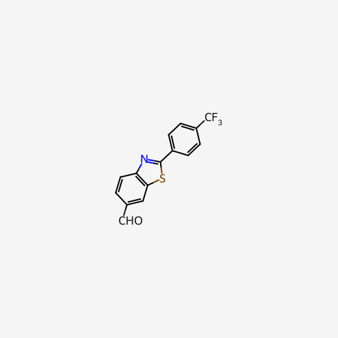 O=Cc1ccc2nc(-c3ccc(C(F)(F)F)cc3)sc2c1